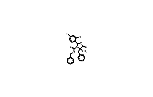 CC1(Cc2ccccc2)C(=O)OC(c2ccc(Cl)cc2Cl)N1C(=O)OCc1ccccc1